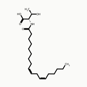 CCCCC/C=C\C/C=C\CCCCCCCC(=O)N[C@H](C(=O)O)[C@@H](C)O